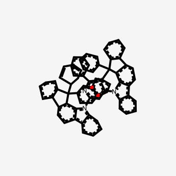 C1=CCC(C2(c3ccccc3)c3ccccc3-c3ccc4c5ccccc5n(-c5cc(-n6c7ccccc7c7ccc8c(c76)C(c6ccccc6)(c6ccccc6)c6ccccc6-8)nc(-c6ccccc6)n5)c4c32)C=C1